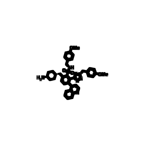 COc1ccc(CNS(=O)(=O)c2c(C[C@H]3CC[C@H](N)CC3)ccc(-c3ccnc4ccccc34)c2-c2nnn(Cc3ccc(OC)cc3)n2)cc1